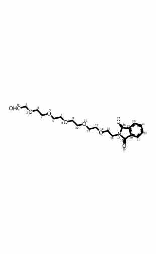 O=CCOCCOCCOCCOCCOCCN1C(=O)c2ccccc2C1=O